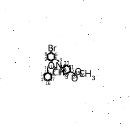 CCN(Cc1cc(Br)ccc1OCc1ccccc1)c1ccc(C(=O)OC)cn1